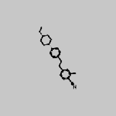 CC[C@H]1CC[C@H](c2ccc(CCc3ccc(C#N)c(C)c3)cc2)CC1